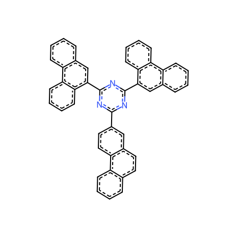 c1ccc2c(c1)ccc1cc(-c3nc(-c4cc5ccccc5c5ccccc45)nc(-c4cc5ccccc5c5ccccc45)n3)ccc12